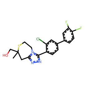 CC1(CO)Cc2nnc(-c3ccc(-c4ccc(F)c(F)c4)cc3Cl)n2CCS1